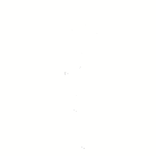 COc1cc(OC)cc(C(=O)NC(CC2CCCCC2)C(=O)NCC#N)c1